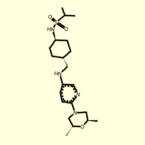 CC(C)S(=O)(=O)N[C@H]1CC[C@H](CNc2ccc(N3C[C@@H](C)O[C@H](C)C3)nc2)CC1